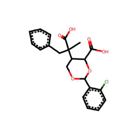 CC(Cc1ccccc1)(C(=O)O)C1COC(c2ccccc2Cl)OC1C(=O)O